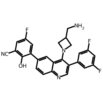 N#Cc1cc(F)cc(-c2ccc3ncc(-c4cc(F)cc(F)c4)c(N4CC(CN)C4)c3c2)c1O